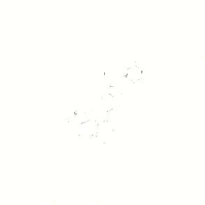 CN[C@@H](C(=O)NC(C(=O)N(C)[C@H](/C=C(\C)C(N)=O)C(C)C)C(C)(C)C)C(C)(C)c1ccccc1